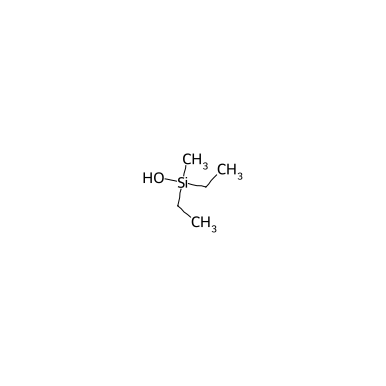 CC[Si](C)(O)CC